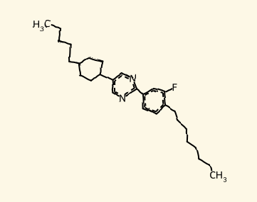 CCCCCCCCc1ccc(-c2ncc(C3CCC(CCCCC)CC3)cn2)cc1F